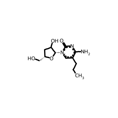 CCCc1cn([C@@H]2O[C@H](CO)CC2O)c(=O)nc1N